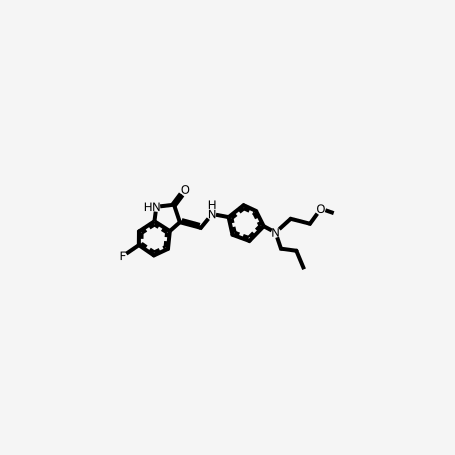 CCCN(CCOC)c1ccc(NC=C2C(=O)Nc3cc(F)ccc32)cc1